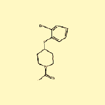 [CH2]C(=O)N1CCC(Sc2ccccc2Br)CC1